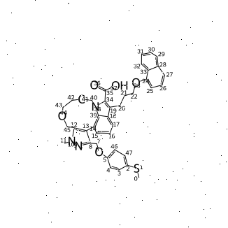 CSc1ccc(OCc2nn(C)c3c2-c2cccc4c(CCCOc5cccc6ccccc56)c(C(=O)O)n(c24)CCCCOC3)cc1